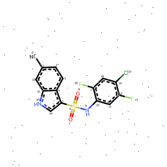 N#Cc1ccc2c(S(=O)(=O)Nc3cc(F)c(Cl)cc3F)c[nH]c2c1